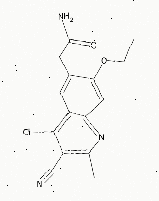 CCOc1cc2nc(C)c(C#N)c(Cl)c2cc1CC(N)=O